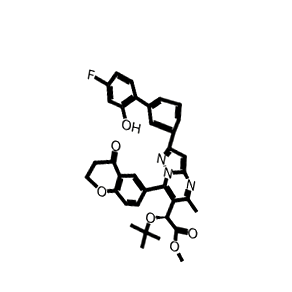 COC(=O)[C@@H](OC(C)(C)C)c1c(C)nc2cc(-c3cccc(-c4ccc(F)cc4O)c3)nn2c1-c1ccc2c(c1)C(=O)CCO2